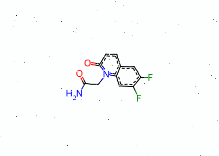 NC(=O)Cn1c(=O)ccc2cc(F)c(F)cc21